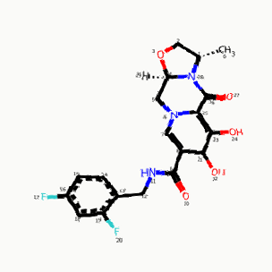 C[C@H]1CO[C@@H]2CN3C=C(C(=O)NCc4ccc(F)cc4F)C(O)C(O)=C3C(=O)N12